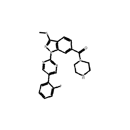 CSc1nn(-c2ncc(-c3ccccc3F)cn2)c2cc(C(=O)N3CCNCC3)ccc12